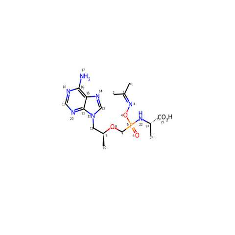 CC(C)=NOP(=O)(CO[C@@H](C)Cn1cnc2c(N)ncnc21)N[C@@H](C)C(=O)O